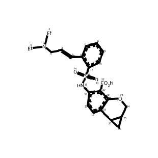 CCN(CC)CC=Cc1ccccc1S(=O)(=O)Nc1ccc2c(c1C(=O)O)OCC1CC21